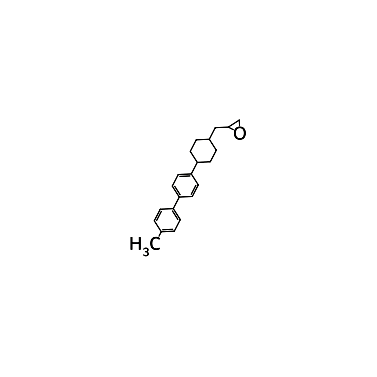 Cc1ccc(-c2ccc(C3CCC(CC4CO4)CC3)cc2)cc1